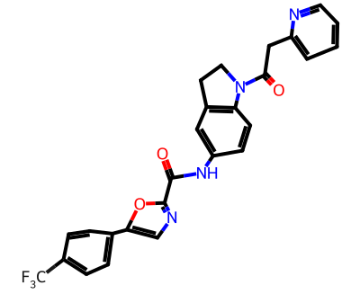 O=C(Nc1ccc2c(c1)CCN2C(=O)Cc1ccccn1)c1ncc(-c2ccc(C(F)(F)F)cc2)o1